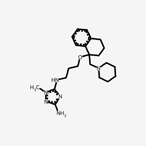 Cn1nc(N)nc1NCCCOC1(CN2CCCCC2)CCCc2ccccc21